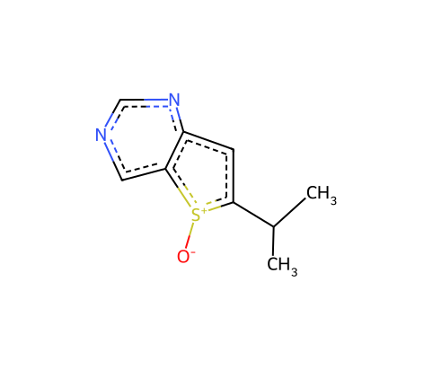 CC(C)c1cc2ncncc2[s+]1[O-]